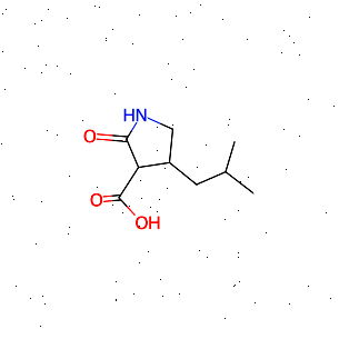 CC(C)CC1CNC(=O)C1C(=O)O